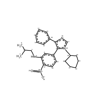 CC(C)CNc1cc(-c2c(-c3ccccc3)ncn2C2CCCCC2)ccc1[N+](=O)[O-]